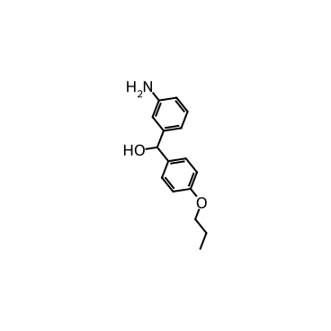 CCCOc1ccc(C(O)c2cccc(N)c2)cc1